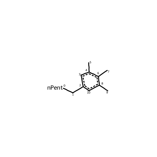 [CH2]CCCCCc1cc(C)c(C)c(C)c1